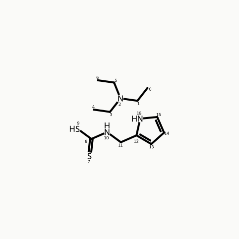 CCN(CC)CC.S=C(S)NCc1ccc[nH]1